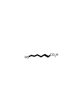 O=C(O)C=CCCCCS